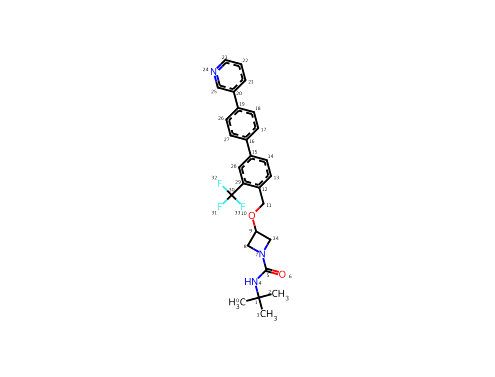 CC(C)(C)NC(=O)N1CC(OCc2ccc(-c3ccc(-c4cccnc4)cc3)cc2C(F)(F)F)C1